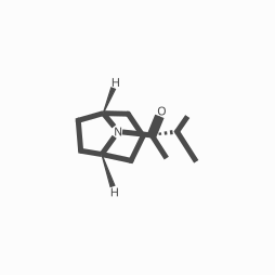 CC(=O)N1[C@@H]2CC[C@H]1C[C@@H](C(C)C)C2